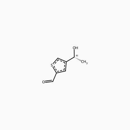 C[C@@H](O)c1csc(C=O)c1